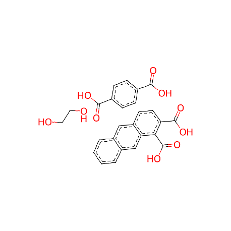 O=C(O)c1ccc(C(=O)O)cc1.O=C(O)c1ccc2cc3ccccc3cc2c1C(=O)O.OCCO